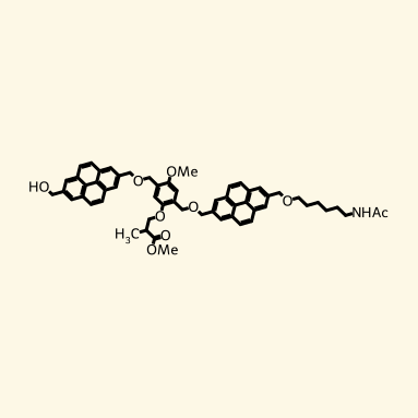 COC(=O)C(C)COc1cc(COCc2cc3ccc4cc(CO)cc5ccc(c2)c3c45)c(OC)cc1COCc1cc2ccc3cc(COCCCCCCNC(C)=O)cc4ccc(c1)c2c34